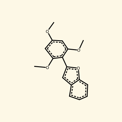 COc1cc(OC)c(-c2cc3ccccc3o2)c(OC)c1